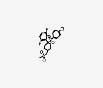 CS(=O)(=O)CC1CCC(c2cc(F)ccc2F)(S(=O)(=O)c2ccc(Cl)cc2)CC1